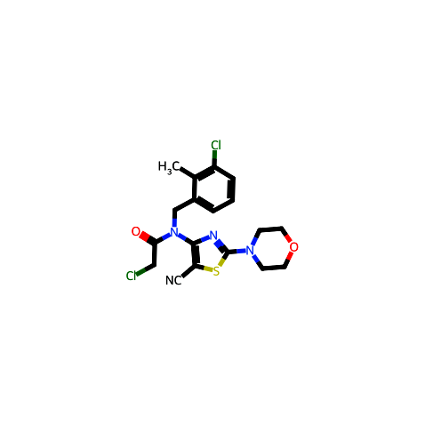 Cc1c(Cl)cccc1CN(C(=O)CCl)c1nc(N2CCOCC2)sc1C#N